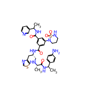 CC(NC(=O)c1cc(C(=O)N[C@H](CN[C@@H](C)C(=O)N[C@H](C)c2ccc(N)cc2)Cc2cscn2)cc(N2CCCNS2(=O)=O)c1)c1cccnc1